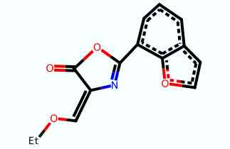 CCOC=C1N=C(c2cccc3ccoc23)OC1=O